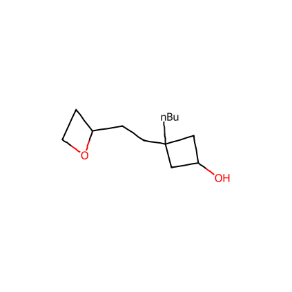 CCCCC1(CCC2CCO2)CC(O)C1